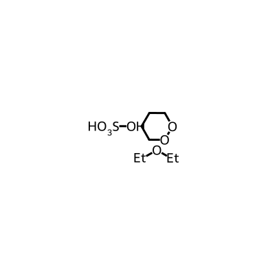 C1CCOOC1.CCOCC.O=S(=O)(O)O